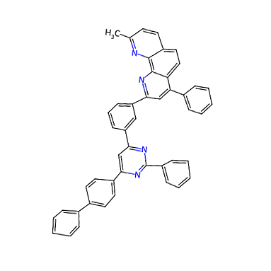 Cc1ccc2ccc3c(-c4ccccc4)cc(-c4cccc(-c5cc(-c6ccc(-c7ccccc7)cc6)nc(-c6ccccc6)n5)c4)nc3c2n1